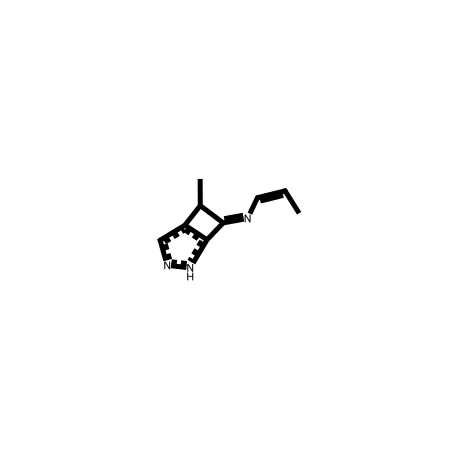 C/C=C\N=C1\c2[nH]ncc2C1C